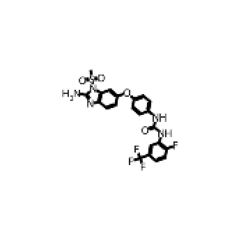 CS(=O)(=O)n1c(N)nc2ccc(Oc3ccc(NC(=O)Nc4cc(C(F)(F)F)ccc4F)cc3)cc21